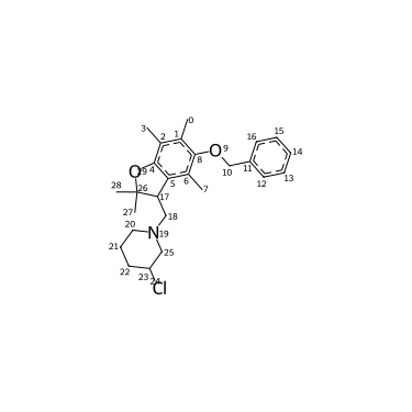 Cc1c(C)c2c(c(C)c1OCc1ccccc1)C(CN1CCCC(Cl)C1)C(C)(C)O2